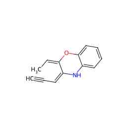 C#C/C=C1/Nc2ccccc2O/C1=C/C